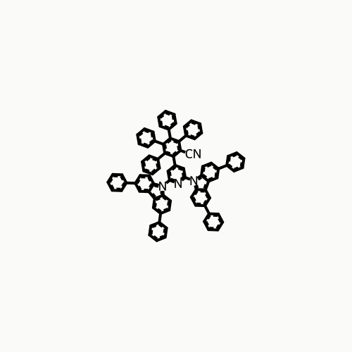 N#Cc1c(-c2ccccc2)c(-c2ccccc2)c(-c2ccccc2)c(-c2ccccc2)c1-c1cc(-n2c3ccc(-c4ccccc4)cc3c3cc(-c4ccccc4)ccc32)nc(-n2c3ccc(-c4ccccc4)cc3c3cc(-c4ccccc4)ccc32)c1